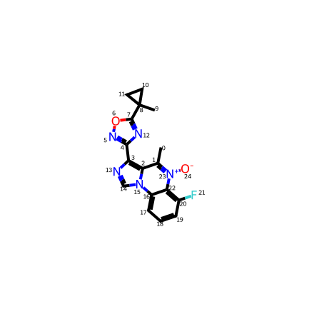 Cc1c2c(-c3noc(C4(C)CC4)n3)ncn2c2cccc(F)c2[n+]1[O-]